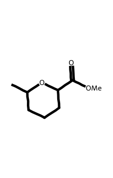 COC(=O)C1CCCC(C)O1